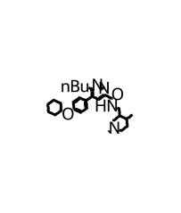 CCCCc1nnc(C(=O)NCC2CN(C)CCC2C)cc1-c1ccc(OC2CCCCC2)cc1